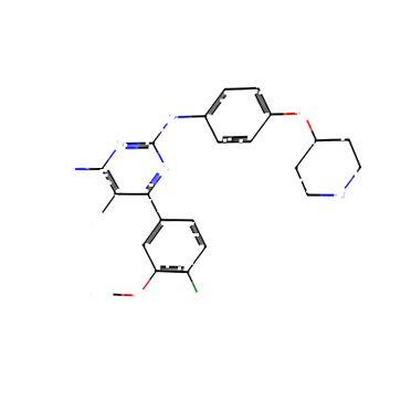 COc1cc(-c2nc(Nc3ccc(OC4CCNCC4)cc3)nc(N)c2C)ccc1Cl